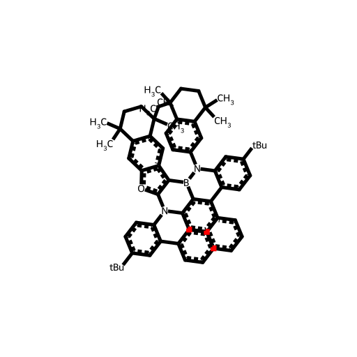 CC(C)(C)c1ccc(N2c3cc4ccccc4c4c3B(c3c2oc2cc5c(cc32)C(C)(C)CCC5(C)C)N(c2ccc3c(c2)C(C)(C)CCC3(C)C)c2cc(C(C)(C)C)ccc2-4)c(-c2ccccc2)c1